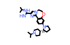 CC(C)NC(=N)c1cn2c(n1)-c1ccc(N3CCC[C@@H]3C3CCN(C(C)C)CC3)cc1OCC2